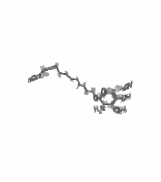 CCCCCCCC/C=C\CCCCCCCCO[C@H]1O[C@H](CO)[C@@H](O)[C@H](O)[C@@H]1N